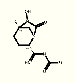 CCC(=O)NC(=N)[C@@H]1CC[C@@H]2CN1C(=O)N2O